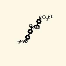 CCCOc1ccc(-c2ccc(C(=O)NCC(=O)c3ccc(C(=O)OCC)cc3)cc2)cc1